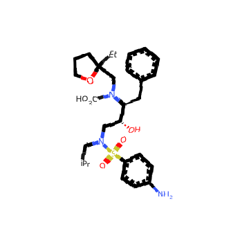 CCC1(CN(C(=O)O)[C@@H](Cc2ccccc2)[C@H](O)CN(CC(C)C)S(=O)(=O)c2ccc(N)cc2)CCCO1